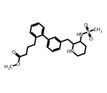 COC(=O)CCCc1ccccc1-c1cccc(CC2NCCCC2NS(C)(=O)=O)c1